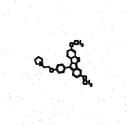 COC1=CC2SC3=c4cc(OC)ccc4=C(c4ccc(OCCN5CCCC5)cc4)C3C2C=C1